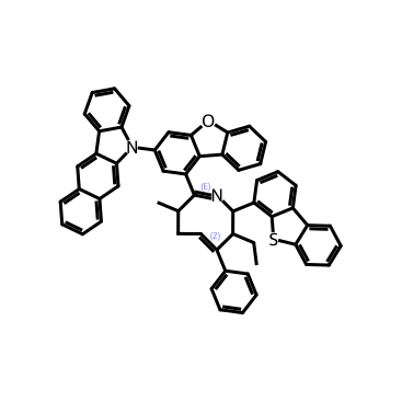 CCC1/C(c2ccccc2)=C/CC(C)/C(c2cc(-n3c4ccccc4c4cc5ccccc5cc43)cc3oc4ccccc4c23)=N\C1c1cccc2c1sc1ccccc12